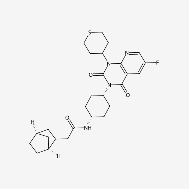 O=C(CC1C[C@@H]2CC[C@H]1C2)N[C@H]1CC[C@@H](n2c(=O)c3cc(F)cnc3n(C3CCSCC3)c2=O)CC1